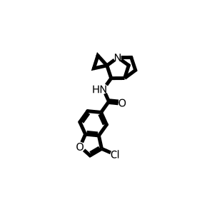 O=C(NC1C2CCN(C2)C12CC2)c1ccc2occ(Cl)c2c1